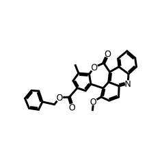 COc1ccc2nc3ccccc3c3c2c1-c1cc(C(=O)OCc2ccccc2)cc(C)c1OC3=O